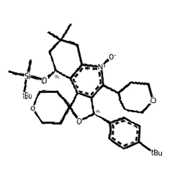 CC1(C)Cc2c(c3c(c(C4CCOCC4)[n+]2[O-])[C@@H](c2ccc(C(C)(C)C)cc2)OC32CCOCC2)[C@@H](O[Si](C)(C)C(C)(C)C)C1